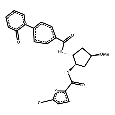 CO[C@@H]1C[C@@H](NC(=O)c2ccc(-n3ccccc3=O)cc2)[C@H](NC(=O)c2ccc(Cl)s2)C1